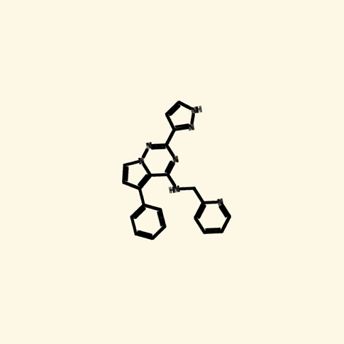 c1ccc(-c2ccn3nc(-c4cc[nH]n4)nc(NCc4ccccn4)c23)cc1